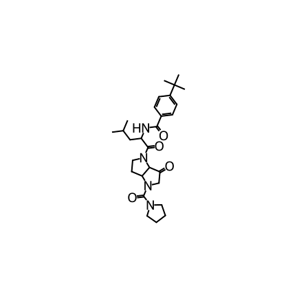 CC(C)CC(NC(=O)c1ccc(C(C)(C)C)cc1)C(=O)N1CCC2C1C(=O)CN2C(=O)N1CCCC1